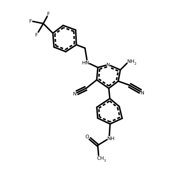 CC(=O)Nc1ccc(-c2c(C#N)c(N)nc(NCc3ccc(C(F)(F)F)cc3)c2C#N)cc1